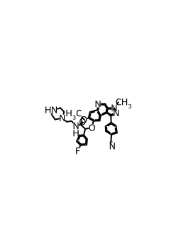 COc1cc2ncc3c(c(-c4ccc(C#N)cc4)nn3C)c2cc1OC(C(=O)NCCN1CCNCC1)c1ccc(F)cc1